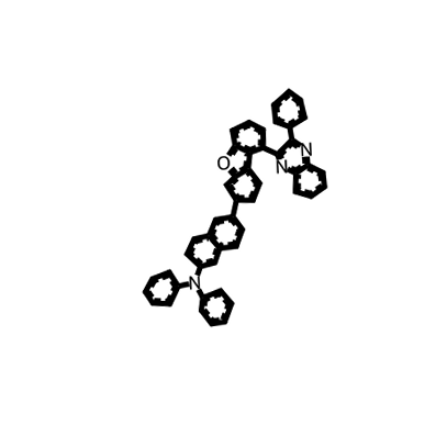 c1ccc(-c2nc3ccccc3nc2-c2cccc3oc4cc(-c5ccc6cc(N(c7ccccc7)c7ccccc7)ccc6c5)ccc4c23)cc1